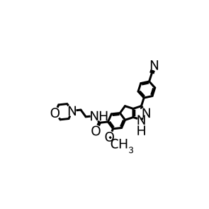 COc1cc2c(cc1C(=O)NCCN1CCOCC1)Cc1c(-c3ccc(C#N)cc3)n[nH]c1-2